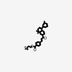 Cc1cccc(C2=CCC(C)(C)c3cc(C(=O)C=Cc4ccc(C(=O)OCC[Si](C)(C)C)cc4)ccc32)c1